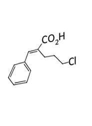 O=C(O)C(=Cc1ccccc1)CCCCl